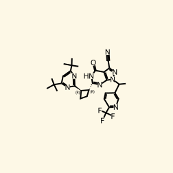 CC(c1ccc(C(F)(F)F)nc1)n1nc(C#N)c2c(=O)[nH]c([C@@H]3CC[C@H]3c3nc(C(C)(C)C)cc(C(C)(C)C)n3)nc21